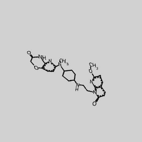 COc1ccc2ccc(=O)n(CCNC3CCC(N(C)c4ccc5c(n4)NC(=O)CO5)CC3)c2n1